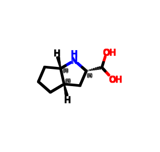 OC(O)[C@@H]1C[C@@H]2CCC[C@@H]2N1